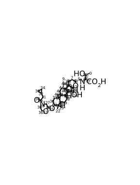 C[C@H](O)[C@@H](NC[C@H]1C[C@@H](C)[C@H]2[C@H](O1)[C@H](O)[C@@]1(C)[C@@H]3CC[C@H]4C(C)(C)[C@@H](O[C@H]5CN(C(=O)CC6CC6)CCO5)CC[C@@]45C[C@@]35CC[C@]21C)C(=O)O